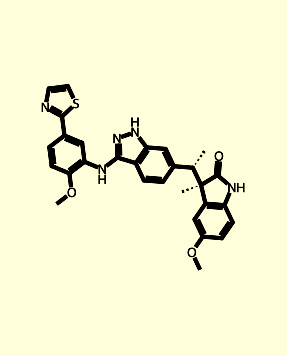 COc1ccc2c(c1)[C@@](C)([C@@H](C)c1ccc3c(Nc4cc(-c5nccs5)ccc4OC)n[nH]c3c1)C(=O)N2